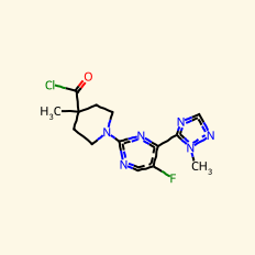 Cn1ncnc1-c1nc(N2CCC(C)(C(=O)Cl)CC2)ncc1F